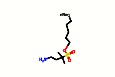 CCCCCCCCCCCCCCOS(=O)(=O)C(C)(C)CCN